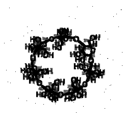 OC[C@H]1OC2OC3[C@H](O)C(O)C(O[C@@H]3CO)O[C@H]3C(O)[C@@H](O)C(O[C@@H]3CO)O[C@H]3C(O)C(O)C(O[C@H]4[C@H](O)C(O)C(O[C@H]5[C@H](O)[C@@H](O)C(O[C@H]6[C@H](O)C(O)C(OC1C(O)[C@H]2O)O[C@@H]6CO)O[C@@H]5CO)O[C@@H]4CO)O[C@@H]3CO